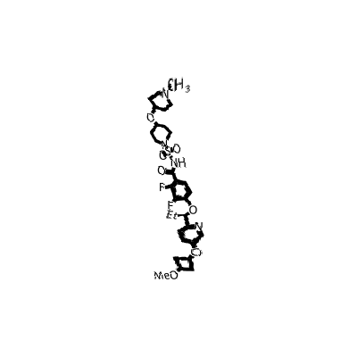 CC[C@@H](Oc1ccc(C(=O)NS(=O)(=O)N2CCC(OC3CCN(C)CC3)CC2)c(F)c1F)c1ccc(OC2CC(OC)C2)cn1